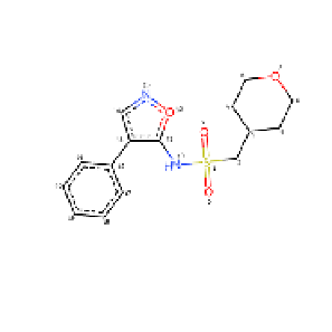 O=S(=O)(CC1CCOCC1)Nc1oncc1-c1ccccc1